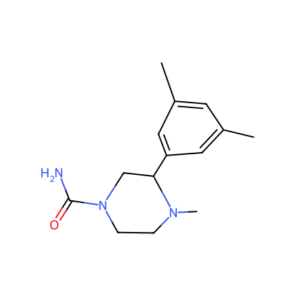 Cc1cc(C)cc(C2CN(C(N)=O)CCN2C)c1